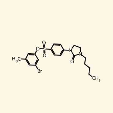 CCCCCN1CCN(c2ccc(S(=O)(=O)Oc3cc(C)cc(Br)c3)cc2)C1=O